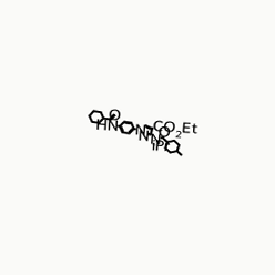 CCOC(=O)c1cn(-c2ccc(NC(=O)C3CCCCC3)cc2)nc1N(C(=O)C1CCC(C)CC1)C(C)C